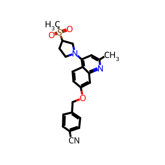 Cc1cc(N2CCC(S(C)(=O)=O)C2)c2ccc(OCc3ccc(C#N)cc3)cc2n1